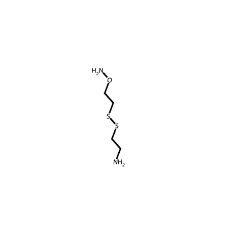 NCCSSCCON